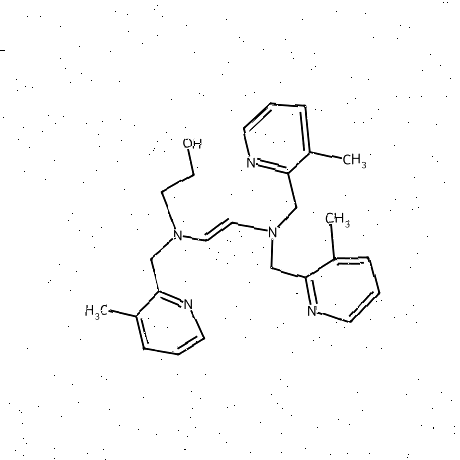 Cc1cccnc1CN(C=CN(Cc1ncccc1C)Cc1ncccc1C)CCO